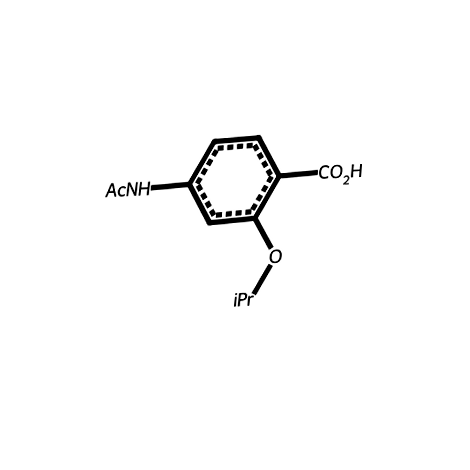 CC(=O)Nc1ccc(C(=O)O)c(OC(C)C)c1